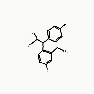 CCc1cc(F)ccc1C(c1ccc(Cl)cc1)C(C)C